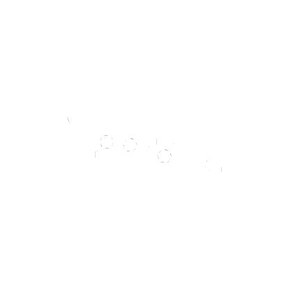 C=CCCCOc1ccc(-c2ccc(OCc3ccc(C4CCC(OCCCC)CC4)c(F)c3F)cc2)cc1F